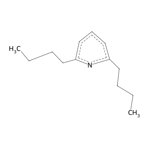 CCCCc1cccc(CCCC)n1